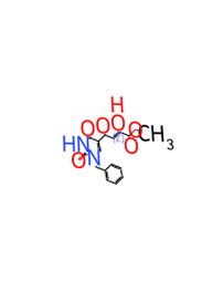 COC(=O)/C(O)=C/C(=O)c1cn(Cc2ccccc2)c(=O)[nH]c1=O